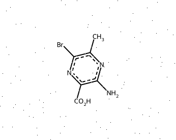 Cc1nc(N)c(C(=O)O)nc1Br